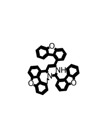 IN1C(c2cccc3oc4ccccc4c23)C=C(c2cccc3oc4ccccc4c23)NC1c1cccc2oc3ccccc3c12